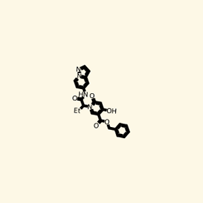 CCC(C(=O)Nc1ccn2nccc2c1)n1cc(C(=O)OCc2ccccc2)c(O)cc1=O